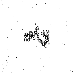 CNC(=O)COc1cc2cc(Nc3nc(N4CCC(OCCOc5cc(-c6scnc6C)ccc5CNC(=O)[C@@H]5C[C@@H](O)CN5C(=O)C(c5cc(C)no5)C(C)C)CC4)ncc3Cl)ccc2n(C)c1=O